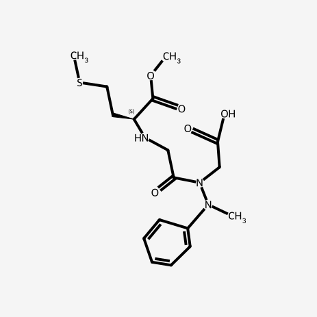 COC(=O)[C@H](CCSC)NCC(=O)N(CC(=O)O)N(C)c1ccccc1